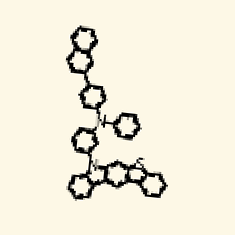 c1ccc(N(c2ccc(-c3ccc4ccccc4c3)cc2)c2cccc(-n3c4ccccc4c4cc5c(cc43)sc3ccccc35)c2)cc1